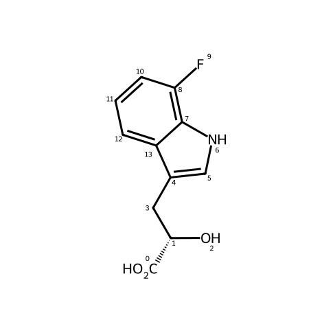 O=C(O)[C@@H](O)Cc1c[nH]c2c(F)cccc12